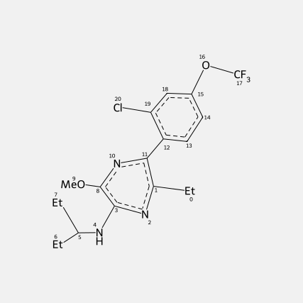 CCc1nc(NC(CC)CC)c(OC)nc1-c1ccc(OC(F)(F)F)cc1Cl